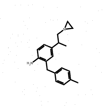 Cc1ccc(Cc2cc(C(C)CN3CC3)ccc2N)cc1